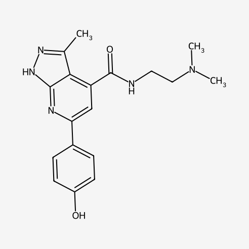 Cc1n[nH]c2nc(-c3ccc(O)cc3)cc(C(=O)NCCN(C)C)c12